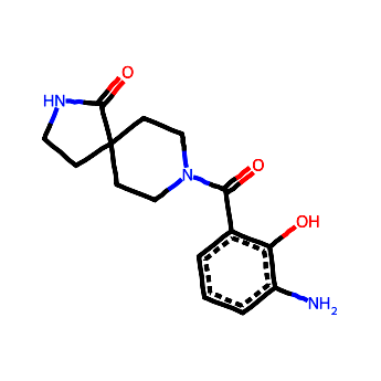 Nc1cccc(C(=O)N2CCC3(CCNC3=O)CC2)c1O